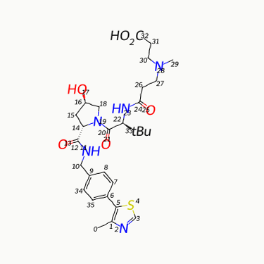 Cc1ncsc1-c1ccc(CNC(=O)[C@@H]2C[C@@H](O)CN2C(=O)[C@@H](NC(=O)CCN(C)CCC(=O)O)C(C)(C)C)cc1